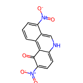 O=c1c([N+](=O)[O-])ccc2[nH]cc3c([N+](=O)[O-])cccc3c1-2